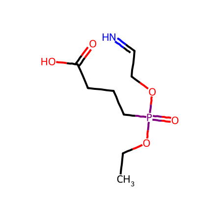 CCOP(=O)(CCCC(=O)O)OCC=N